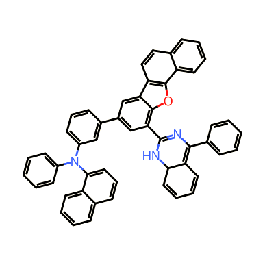 C1=CC2=C(c3ccccc3)N=C(c3cc(-c4cccc(N(c5ccccc5)c5cccc6ccccc56)c4)cc4c3oc3c5ccccc5ccc43)NC2C=C1